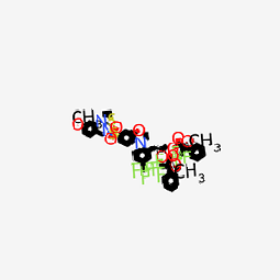 COc1ccc(CN(c2nccs2)S(=O)(=O)c2ccc3c(c2)OCCN3c2ccc(C(F)(F)F)cc2C[C@@H](COC(=O)[C@@](OC)(c2ccccc2)C(F)(F)F)OC(=O)[C@](OC)(c2ccccc2)C(F)(F)F)cc1